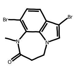 CN1C(=O)CCn2cc(Br)c3ccc(Br)c1c32